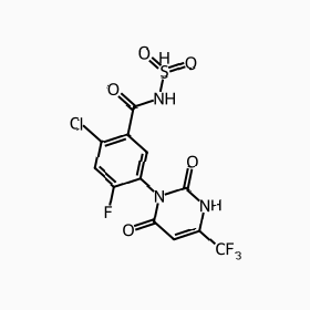 O=C(N[SH](=O)=O)c1cc(-n2c(=O)cc(C(F)(F)F)[nH]c2=O)c(F)cc1Cl